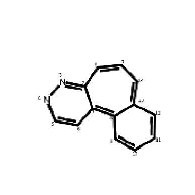 C1=CC2=N[N]C=CC2=c2ccccc2=C1